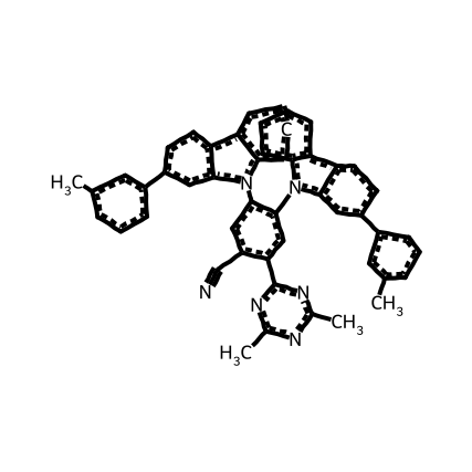 Cc1cccc(-c2ccc3c4ccccc4n(-c4cc(C#N)c(-c5nc(C)nc(C)n5)cc4-n4c5ccccc5c5ccc(-c6cccc(C)c6)cc54)c3c2)c1